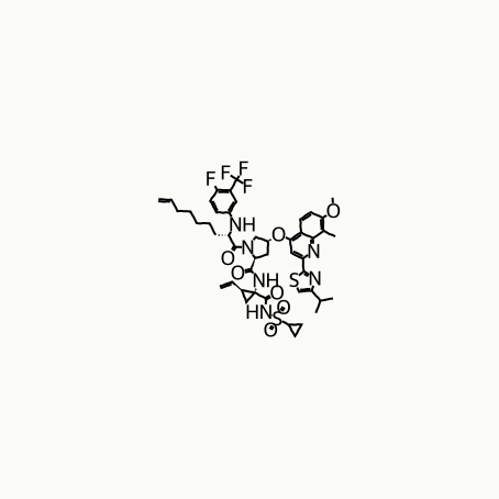 C=CCCCCC[C@H](Nc1ccc(F)c(C(F)(F)F)c1)C(=O)N1C[C@H](Oc2cc(-c3nc(C(C)C)cs3)nc3c(C)c(OC)ccc23)C[C@H]1C(=O)N[C@]1(C(=O)NS(=O)(=O)C2CC2)C[C@H]1C=C